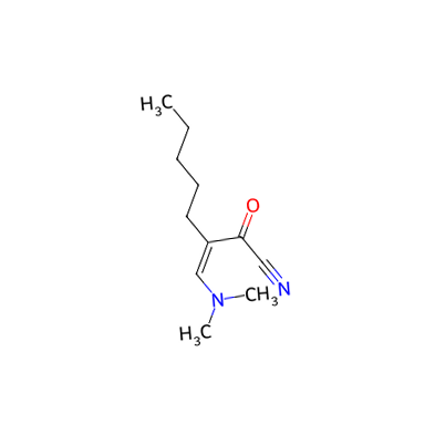 CCCCCC(=CN(C)C)C(=O)C#N